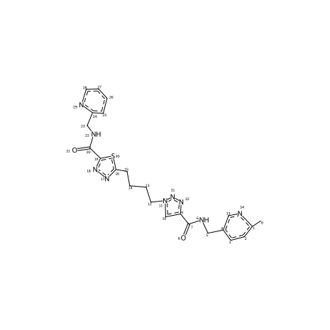 Cc1ccc(CNC(=O)c2cn(CCCCc3nnc(C(=O)NCc4ccccn4)s3)nn2)cn1